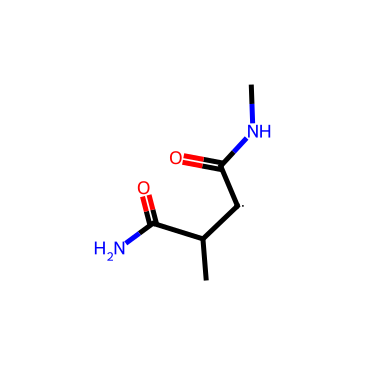 CNC(=O)[CH]C(C)C(N)=O